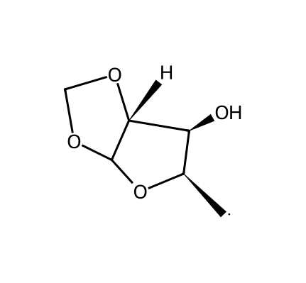 [CH2][C@H]1OC2OCO[C@@H]2[C@H]1O